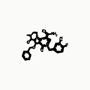 CN1CCn2c(c(OCc3ccccc3)c3c(=O)n(Cc4ccc(F)c(Cl)c4)cc(C(N)=O)c32)C1=O